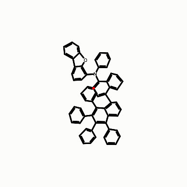 c1ccc(-c2c(-c3ccccc3)c(-c3ccccc3)c3c(-c4ccc(N(c5ccccc5)c5cccc6c5oc5ccccc56)c5ccccc45)cccc3c2-c2ccccc2)cc1